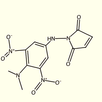 CN(C)c1c([N+](=O)[O-])cc(NN2C(=O)C=CC2=O)cc1[N+](=O)[O-]